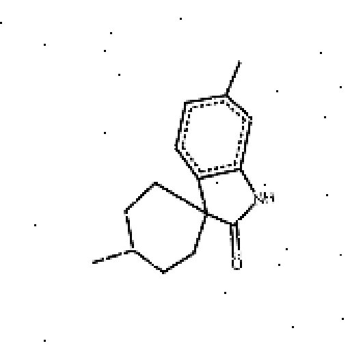 Cc1ccc2c(c1)NC(=O)C21CCC(C)CC1